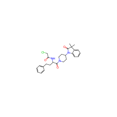 CC1(C)C(=O)N(C2CCN(C(=O)C(CCc3ccccc3)NC(=O)CCl)CC2)c2ccccc21